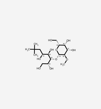 CO[C@H]1[C@H](O[C@@H]([C@H](O)[C@@H](O)CC(C)(C)C)[C@H](O)CO)O[C@H](CO)[C@H](O)[C@@H]1O